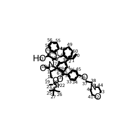 C=CCc1ccccc1P(=C(C(=O)O)N1C(=O)[C@H]([C@@H](C)O[Si](C)(C)C(C)(C)C)[C@H]1CC(=O)c1ccc(OCCN2CCOCC2)cc1)(c1ccccc1)c1ccccc1